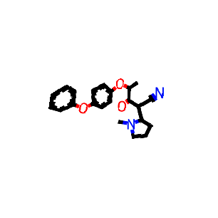 CC(Oc1ccc(Oc2ccccc2)cc1)C(=O)C(C#N)C1CCCN1C